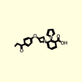 CCC(=O)c1ccc(OC2CN(c3cccc(C(=O)O)c3-n3cccc3)C2)cc1